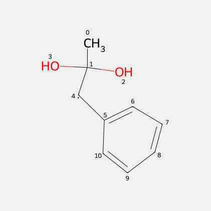 CC(O)(O)[CH]c1ccccc1